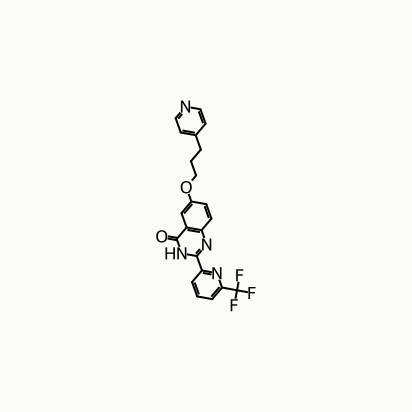 O=c1[nH]c(-c2cccc(C(F)(F)F)n2)nc2ccc(OCCCc3ccncc3)cc12